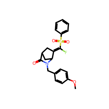 COc1ccc(CN2C(=O)C3CC(=C(F)S(=O)(=O)c4ccccc4)C2C3)cc1